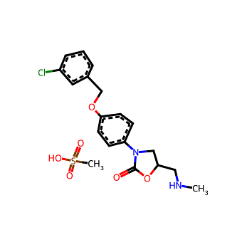 CNCC1CN(c2ccc(OCc3cccc(Cl)c3)cc2)C(=O)O1.CS(=O)(=O)O